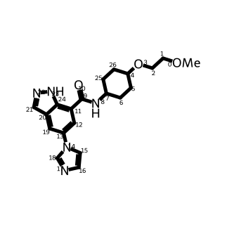 COCCOC1CCC(NC(=O)c2cc(-n3ccnc3)cc3cn[nH]c23)CC1